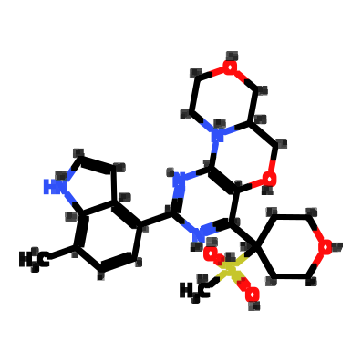 Cc1ccc(-c2nc3c(c(C4(S(C)(=O)=O)CCOCC4)n2)OCC2COCCN32)c2cc[nH]c12